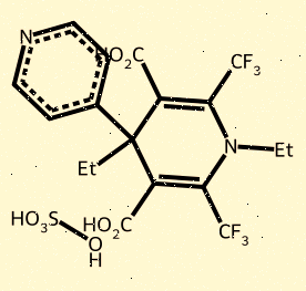 CCN1C(C(F)(F)F)=C(C(=O)O)C(CC)(c2ccncc2)C(C(=O)O)=C1C(F)(F)F.O=S(=O)(O)O